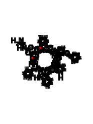 NCCNC(=O)O[C@@H]1C[C@H]2C(=O)N[C@H](CCc3ccccc3)C(=O)N[C@H](Cc3c[nH]c4ccccc34)C(=O)N[C@@H](CC3CCNCC3)C(=O)N[C@@H](Cc3ccc(OCc4ccccc4)cc3)C(=O)N3Cc4ccccc4C[C@H]3C(=O)N2C1